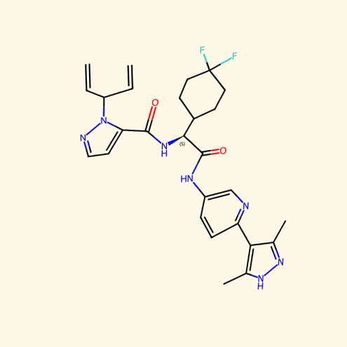 C=CC(C=C)n1nccc1C(=O)N[C@H](C(=O)Nc1ccc(-c2c(C)n[nH]c2C)nc1)C1CCC(F)(F)CC1